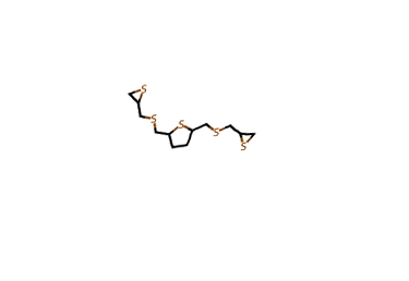 C(SCC1CCC(CSCC2CS2)S1)C1CS1